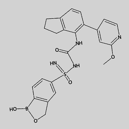 COc1cc(-c2ccc3c(c2NC(=O)NS(=N)(=O)c2ccc4c(c2)COB4O)CCC3)ccn1